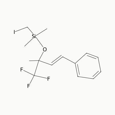 CC(/C=C/c1ccccc1)(O[Si](C)(C)CI)C(F)(F)F